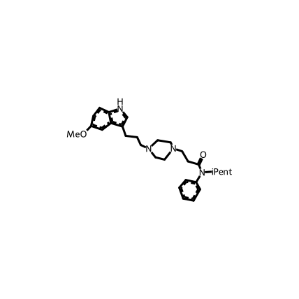 CCCC(C)N(C(=O)CCN1CCN(CCCc2c[nH]c3ccc(OC)cc23)CC1)c1ccccc1